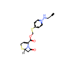 C#CCN[n+]1ccc(SCOC(=O)C2=CCS[C@H]3CC(=O)N23)cc1